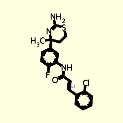 CC1(c2ccc(F)c(NC(=O)/C=C/c3ccccc3Cl)c2)CCSC(N)=N1